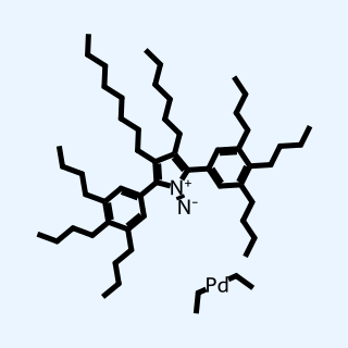 CCCCCCCCC1=C(c2cc(CCCC)c(CCCC)c(CCCC)c2)[N+](=[N-])C(c2cc(CCCC)c(CCCC)c(CCCC)c2)=C1CCCCCC.C[CH2][Pd][CH2]C